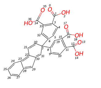 O=C(O)c1ccc(C2(c3ccc(C(=O)O)c(C(=O)O)c3)C=CC3=c4ccccc4=CC3=C2)cc1C(=O)O